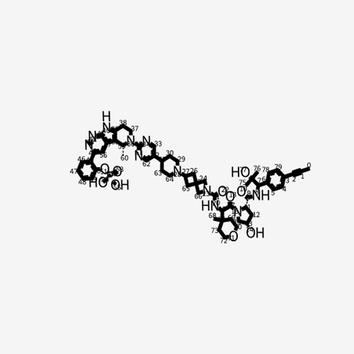 CC#Cc1ccc(C(NC(=O)[C@@H]2C[C@@H](O)CN2C(=O)C(NC(=O)N2CC3(CC(N4CCC(c5cnc(N6CCc7[nH]c8nnc(-c9ccccc9OP(=O)(O)O)cc8c7[C@H]6C)nc5)CC4)C3)C2)C2(C)CCOCC2)C(C)(C)O)cc1